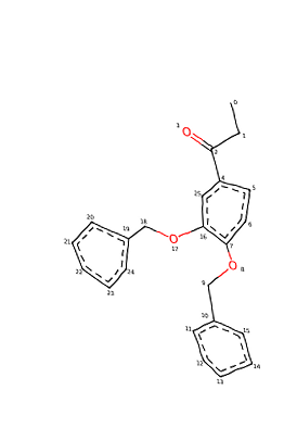 CCC(=O)c1ccc(OCc2ccccc2)c(OCc2ccccc2)c1